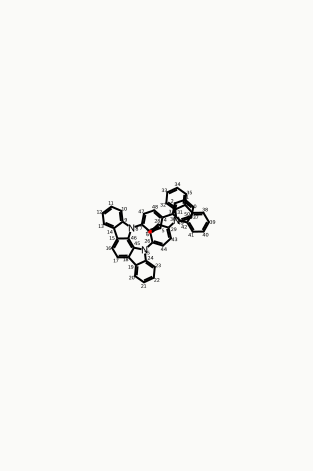 c1ccc(-c2ccc(-n3c4ccccc4c4ccc5c6ccccc6n(-c6ccc(-n7c8ccccc8c8ccccc87)cc6)c5c43)cc2)cc1